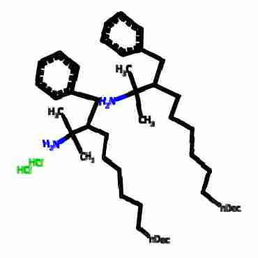 CCCCCCCCCCCCCCCCC(Cc1ccccc1)C(C)(C)N.CCCCCCCCCCCCCCCCC(Cc1ccccc1)C(C)(C)N.Cl.Cl